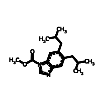 COC(=O)n1cnc2cc(CC(C)C)c(CC(C)C)cc21